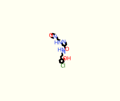 O=C(NN=CCCc1ccc(Cl)cc1O)c1ccnc(NCCCN2CCOCC2)c1